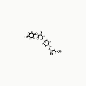 CCN(CCO)CC[C@H]1CC[C@H](CCN(C)C(=O)Oc2ccc(Cl)cc2)CC1